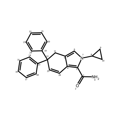 NC(=O)c1c2c(cn1C1CC1)CC(c1ccccc1)(c1ccccc1)C=C2